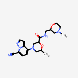 CC1CN(c2ccc(C#N)n3nccc23)CC(C(=O)NCC2CN(C)CCO2)O1